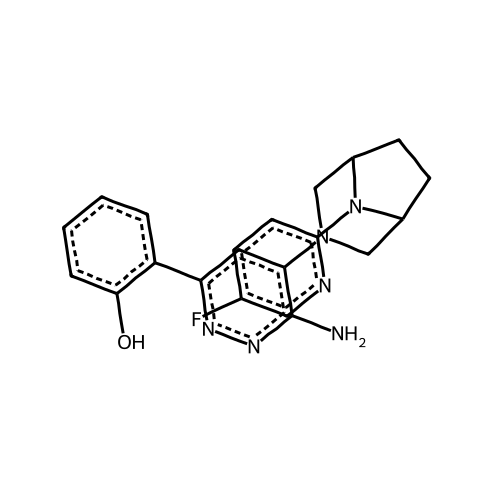 Nc1nnc(-c2ccccc2O)cc1N1CC2CCC(C1)N2c1ccc(F)cn1